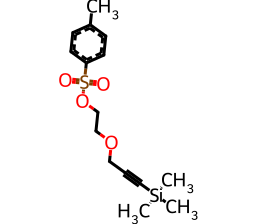 Cc1ccc(S(=O)(=O)OCCOCC#C[Si](C)(C)C)cc1